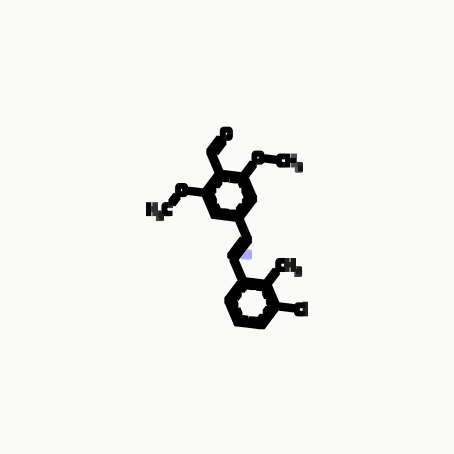 COc1cc(/C=C/c2cccc(Cl)c2C)cc(OC)c1C=O